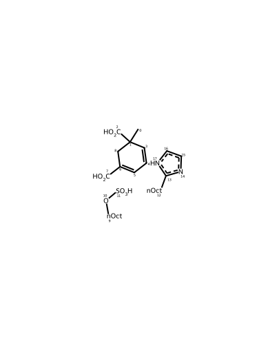 CC1(C(=O)O)C=CC=C(C(=O)O)C1.CCCCCCCCOS(=O)(=O)O.CCCCCCCCc1ncc[nH]1